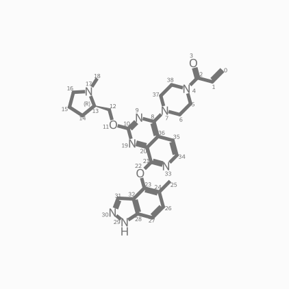 C=CC(=O)N1CCN(c2nc(OC[C@H]3CCCN3C)nc3c(Oc4c(C)ccc5[nH]ncc45)nccc23)CC1